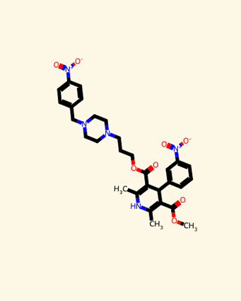 COC(=O)C1=C(C)NC(C)=C(C(=O)OCCCN2CCN(Cc3ccc([N+](=O)[O-])cc3)CC2)C1c1cccc([N+](=O)[O-])c1